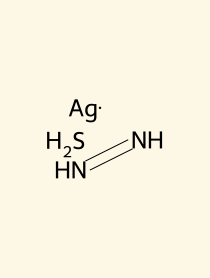 N=N.S.[Ag]